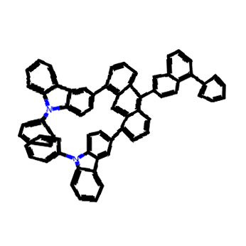 c1ccc(-c2cccc3cc(-c4c5cccc(-c6ccc7c(c6)c6ccccc6n7-c6ccccc6)c5cc5c(-c6ccc7c(c6)c6ccccc6n7-c6ccccc6)cccc45)ccc23)cc1